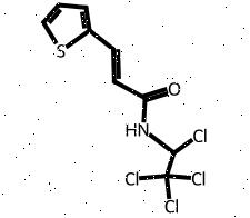 O=C(C=Cc1cccs1)NC(Cl)C(Cl)(Cl)Cl